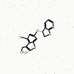 O=C(O)Cc1csc2cc(O[C@H]3COc4ncccc43)cc(Cl)c12